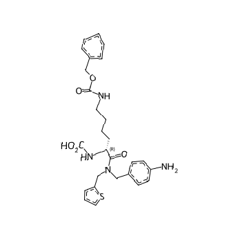 Nc1ccc(CN(Cc2cccs2)C(=O)[C@@H](CCCCNC(=O)OCc2ccccc2)NC(=O)O)cc1